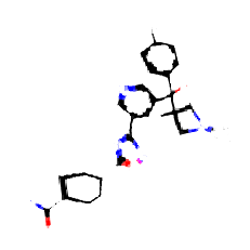 CC(C)c1ccc(C(O)(c2cncc(-c3noc([C@H]4CC[C@H](C(N)=O)CC4)n3)c2)C2(C)CN(C)C2)cc1